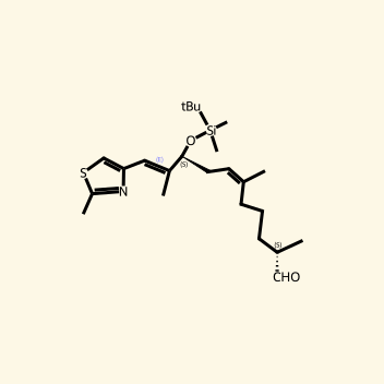 CC(=CC[C@H](O[Si](C)(C)C(C)(C)C)/C(C)=C/c1csc(C)n1)CCC[C@H](C)C=O